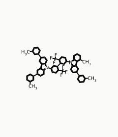 Cc1cccc(-c2ccc3c(c2)c2cc(-c4cccc(C)c4)ccc2n3-c2ccc(C(F)(F)F)c(-c3cc(-n4c5ccc(-c6cccc(C)c6)cc5c5c(C)cccc54)ccc3C(F)(F)F)c2)c1